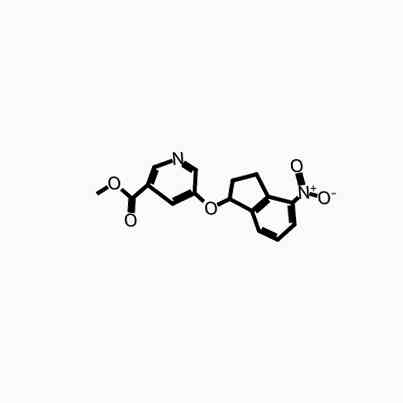 COC(=O)c1cncc(OC2CCc3c2cccc3[N+](=O)[O-])c1